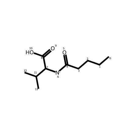 CCCCC(=O)[N]C(C(=O)O)C(C)C